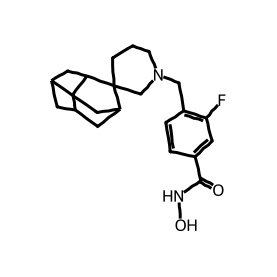 O=C(NO)c1ccc(CN2CCCC3(C2)C2CC4CC(C2)CC3C4)c(F)c1